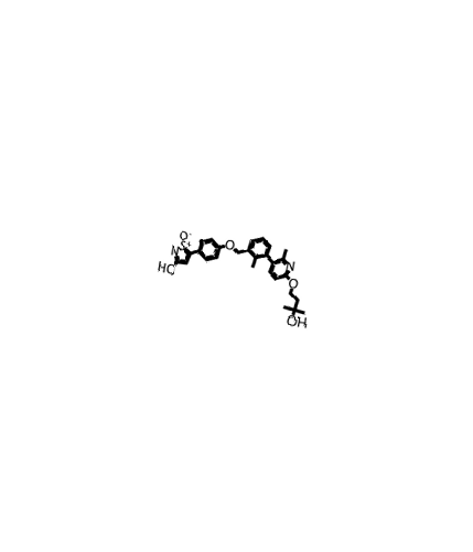 Cc1nc(OCCC(C)(C)O)ccc1-c1cccc(COc2ccc(-c3cc(O)n[s+]3[O-])cc2)c1C